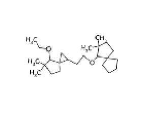 CCOC1C(C)(C)CCC12CC2CCOC1C(C)(C)CCC12CCCC2